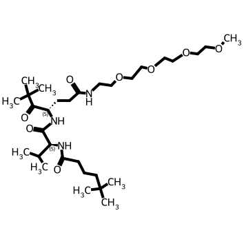 COCCOCCOCCOCCNC(=O)CC[C@H](NC(=O)[C@@H](NC(=O)CCCC(C)(C)C)C(C)C)C(=O)C(C)(C)C